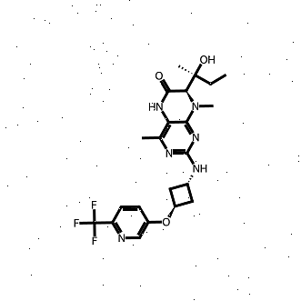 CC[C@](C)(O)[C@@H]1C(=O)Nc2c(C)nc(N[C@H]3C[C@H](Oc4ccc(C(F)(F)F)nc4)C3)nc2N1C